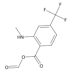 CNc1cc(C(F)(F)F)ccc1C(=O)OC=O